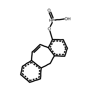 O=[PH](O)Oc1cccc2c1C=Cc1ccccc1C2